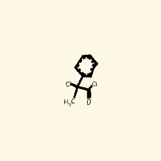 CC(Cl)(C(=O)Cl)c1ccccc1